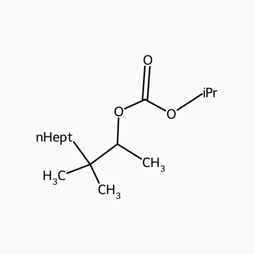 CCCCCCCC(C)(C)C(C)OC(=O)OC(C)C